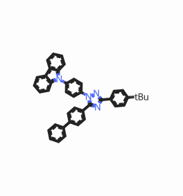 CC(C)(C)c1ccc(-c2nc(-c3ccc(-c4ccccc4)cc3)n(-c3ccc(-n4c5ccccc5c5ccccc54)cc3)n2)cc1